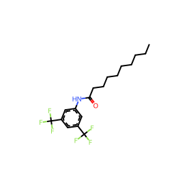 CCCCCCCCCC(=O)Nc1cc(C(F)(F)F)cc(C(F)(F)F)c1